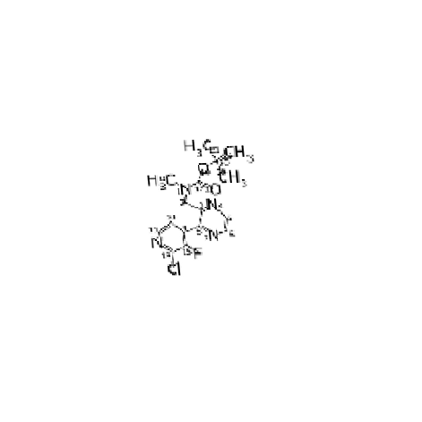 CN(Cc1nccnc1-c1ccnc(Cl)c1F)C(=O)OC(C)(C)C